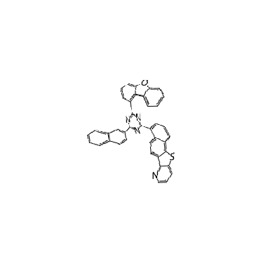 c1ccc2cc(-c3nc(-c4cccc5c4ccc4c6ncccc6sc54)nc(-c4cccc5oc6ccccc6c45)n3)ccc2c1